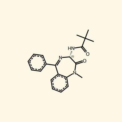 CN1C(=O)[C@@H](NC(=O)C(C)(C)C)N=C(c2ccccc2)c2ccccc21